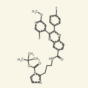 COc1cc(-c2nc3cc(C(=O)NCCCc4nccn4C(=O)OC(C)(C)C)ccc3nc2-c2ccc(F)cc2)c(F)cn1